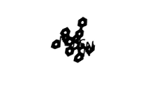 c1ccc(-c2ccc3c(c2)c2c4c5ccccc5n(-c5ccccc5)c4ccc2n3-c2sc(-c3ncccn3)c(-c3ccccc3)c2-c2ccccc2)cc1